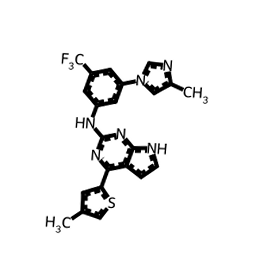 Cc1csc(-c2nc(Nc3cc(-n4cnc(C)c4)cc(C(F)(F)F)c3)nc3[nH]ccc23)c1